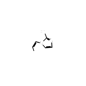 CC/C=C\n1ccnc1CC